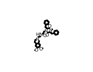 COc1cc2c(cc1OC)CN(CCNC(=O)Cn1c(=O)c(=Cc3ccccc3)n(C)c(=O)c1=Cc1ccccc1)CC2